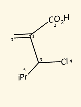 C=C(C(=O)O)C(Cl)C(C)C